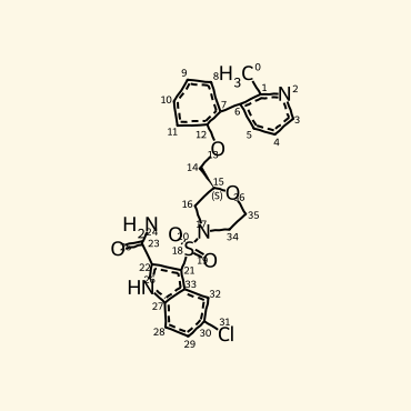 Cc1ncccc1-c1ccccc1OC[C@@H]1CN(S(=O)(=O)c2c(C(N)=O)[nH]c3ccc(Cl)cc23)CCO1